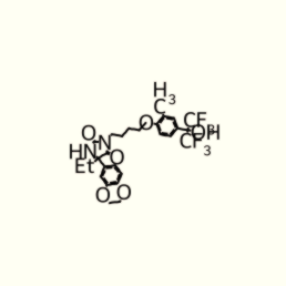 CCC1(c2ccc3c(c2)OCCO3)NC(=O)N(CCCCOc2ccc(C(O)(C(F)(F)F)C(F)(F)F)cc2C)C1=O